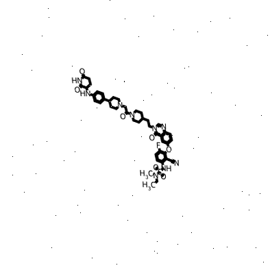 CCN(C)S(=O)(=O)Nc1ccc(F)c(Oc2ccc3ncn(CCC4CCN(C(=O)CN5CCC(c6ccc(NC7CCC(=O)NC7=O)cc6)CC5)CC4)c(=O)c3c2)c1C#N